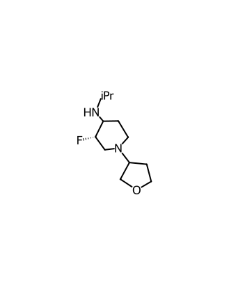 CC(C)NC1CCN(C2CCOC2)C[C@@H]1F